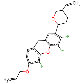 C=CCOc1ccc2c(c1F)Oc1c(cc(C3CCC(C=C)CO3)c(F)c1F)C2